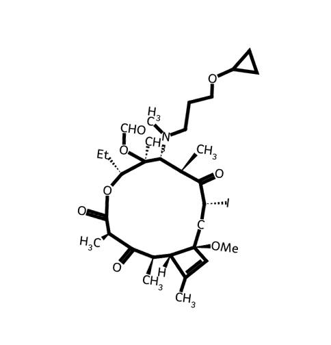 CC[C@H]1OC(=O)[C@H](C)C(=O)[C@H](C)[C@H]2C(C)=C[C@@]2(OC)C[C@@H](I)C(=O)[C@H](C)[C@@H](N(C)CCCOC2CC2)[C@]1(C)OC=O